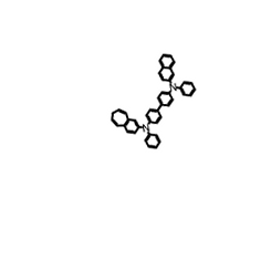 C1=Cc2ccc(N(c3ccccc3)c3ccc(-c4ccc(N(c5ccccc5)c5ccc6ccccc6c5)cc4)cc3)cc2C=CC1